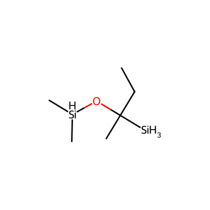 CCC(C)([SiH3])O[SiH](C)C